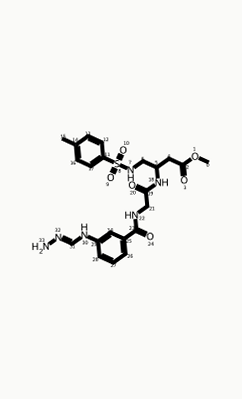 COC(=O)CC(CNS(=O)(=O)c1ccc(C)cc1)NC(=O)CNC(=O)c1cccc(NC=NN)c1